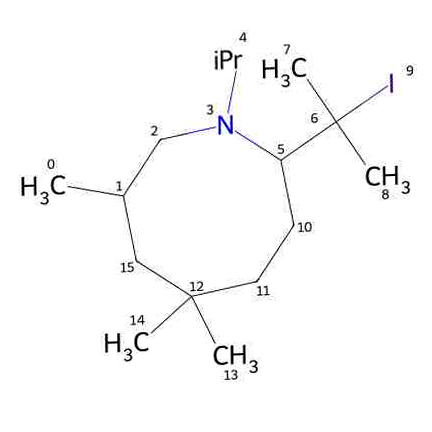 CC1CN(C(C)C)C(C(C)(C)I)CCC(C)(C)C1